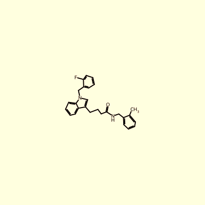 Cc1ccccc1CNC(=O)CCCc1cn(Cc2ccccc2F)c2ccccc12